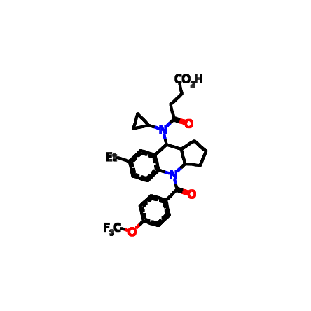 CCc1ccc2c(c1)C(N(C(=O)CCC(=O)O)C1CC1)C1CCCC1N2C(=O)c1ccc(OC(F)(F)F)cc1